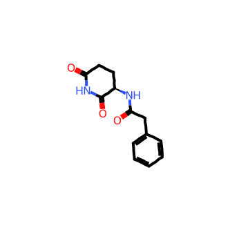 O=C1CC[C@@H](NC(=O)Cc2ccccc2)C(=O)N1